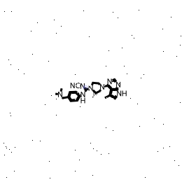 Cc1c[nH]c2ncnc(N3CCN(/C(=N/C#N)Nc4ccc(CN(C)C)cc4)[C@@H](C)C3)c12